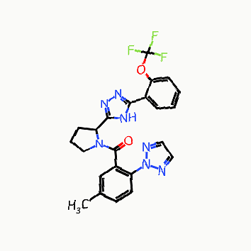 Cc1ccc(-n2nccn2)c(C(=O)N2CCCC2c2nnc(-c3ccccc3OC(F)(F)F)[nH]2)c1